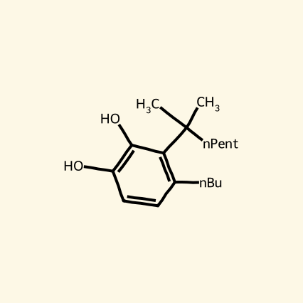 CCCCCC(C)(C)c1c(CCCC)ccc(O)c1O